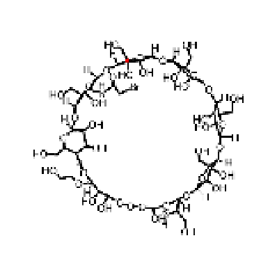 O=C(CBr)NC1C(O)[C@@H]2O[C@H]3OC(CO)[C@@H](O[C@@H](OCCO)C(O)C(O)COCC(O)C[C@@H](C(O)CO)O[C@H]4OC(CO)[C@@H](O[C@H]5OC(CO)[C@@H](OC6OC(CO)[C@@H](O[C@H]7OC(CO)[C@@H](O[C@H]1OC2CO)C(O)C7O)C(O)C6O)C(O)C5O)C(O)C4O)C(O)C3O